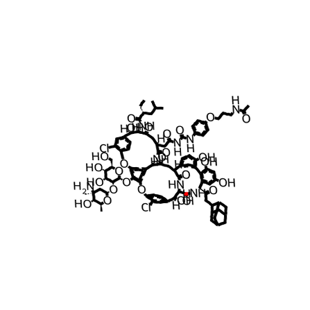 CC[C@H](CC(C)C)C(=O)N[C@H]1C(=O)C[C@@H](CC(=O)NC(=O)Nc2ccc(OCCCNC(C)=O)cc2)C(=O)N[C@H]2C(=O)C[C@H]3C(=O)N[C@H](C(=O)N[C@H](C(=O)CC4C5CC6CC(C5)CC4C6)c4cc(O)cc(O)c4-c4cc3ccc4O)[C@H](O)c3ccc(c(Cl)c3)Oc3cc2cc(c3O[C@@H]2O[C@H](CO)[C@@H](O)[C@H](O)[C@H]2O[C@H]2C[C@](C)(N)[C@H](O)[C@H](C)O2)Oc2ccc(cc2Cl)[C@H]1O